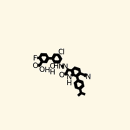 CC(C)c1ccc(-c2c(C#N)ccc3c2NC(=O)C3=NNc2cc(Cl)cc(-c3ccc(F)c(C(=O)O)c3)c2O)cc1